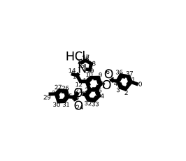 Cc1ccc(C(=O)Oc2ccc(CC(C)N3CCCC3)c3c(OC(=O)c4ccc(C)cc4)cccc23)cc1.Cl